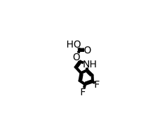 O=C(O)Oc1cc2cc(F)c(F)cc2[nH]1